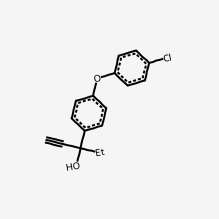 C#CC(O)(CC)c1ccc(Oc2ccc(Cl)cc2)cc1